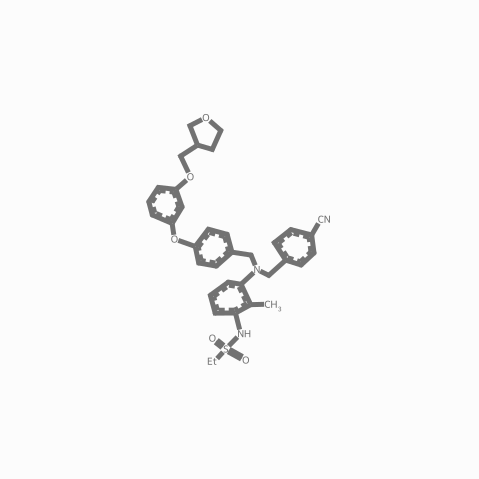 CCS(=O)(=O)Nc1cccc(N(Cc2ccc(C#N)cc2)Cc2ccc(Oc3cccc(OCC4CCOC4)c3)cc2)c1C